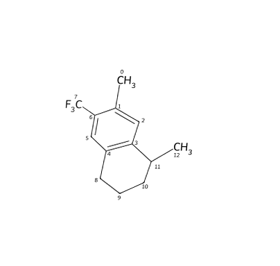 Cc1cc2c(cc1C(F)(F)F)CCCC2C